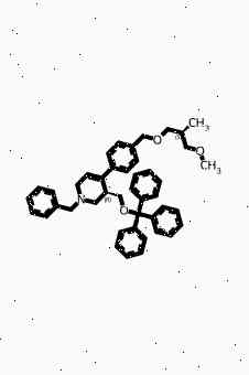 COC[C@H](C)COCc1ccc(C2=CCN(Cc3ccccc3)C[C@@H]2COC(c2ccccc2)(c2ccccc2)c2ccccc2)cc1